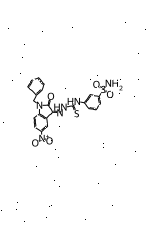 NS(=O)(=O)c1cccc(NC(=S)NN=C2C(=O)N(Cc3ccccc3)c3ccc([N+](=O)[O-])cc32)c1